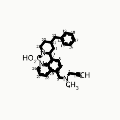 C#CCN(C)Cc1ccc(C2CC(Cc3ccccc3)CCN2C(=O)O)c2ncccc12